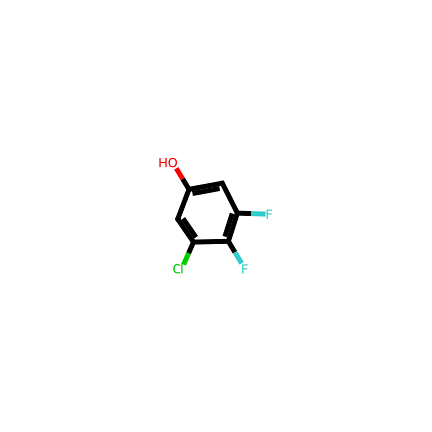 Oc1cc(F)c(F)c(Cl)c1